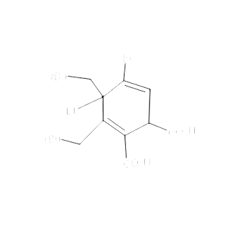 CCC1=CC(C(=O)O)C(C(=O)O)=C(CC(C)(C)C)C1(CC)CC(C)(C)C